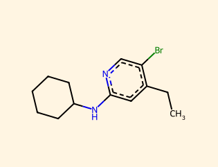 CCc1cc(NC2CCCCC2)ncc1Br